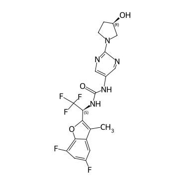 Cc1c([C@H](NC(=O)Nc2cnc(N3CC[C@@H](O)C3)nc2)C(F)(F)F)oc2c(F)cc(F)cc12